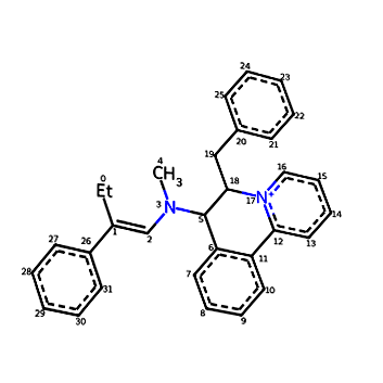 CC/C(=C\N(C)C1c2ccccc2-c2cccc[n+]2C1Cc1ccccc1)c1ccccc1